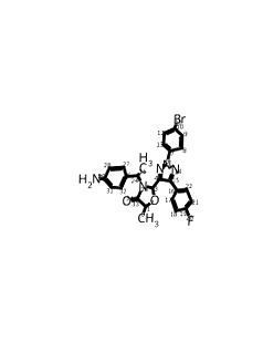 CC1OC(c2nn(-c3ccc(Br)cc3)nc2-c2ccc(F)cc2)N(C(C)c2ccc(N)cc2)C1=O